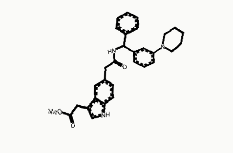 COC(=O)Cc1c[nH]c2ccc(CC(=O)NC(c3ccccc3)c3cccc(N4CCCCC4)c3)cc12